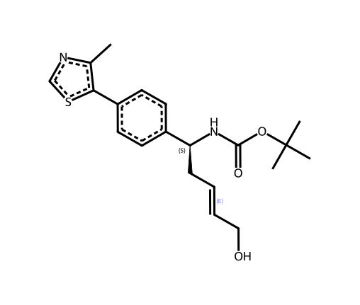 Cc1ncsc1-c1ccc([C@H](C/C=C/CO)NC(=O)OC(C)(C)C)cc1